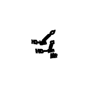 [Mn].[O]=[Mn][OH].[O]=[Mn][OH]